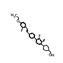 CCOc1ccc(/C=C/c2ccc(-c3ccc(C4CCC(CO)CC4)c(F)c3F)cc2)c(F)c1